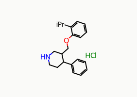 CC(C)c1ccccc1OCC1CNCCC1c1ccccc1.Cl